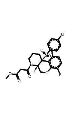 COC(=O)CC(=O)N1CCC[C@]2(S(=O)(=O)c3ccc(Cl)cc3)c3c(F)ccc(F)c3OC[C@H]12